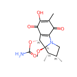 CO[C@@]12[C@H](OC(N)=O)C3=C(C(=O)C(C)=C(O)C3=O)N1C[C@H](C)[C@@H]2C